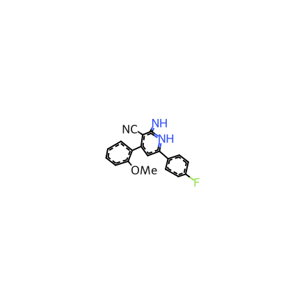 COc1ccccc1-c1cc(-c2ccc(F)cc2)[nH]c(=N)c1C#N